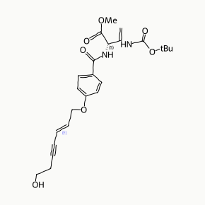 C=C(NC(=O)OC(C)(C)C)[C@H](NC(=O)c1ccc(OC/C=C/C#CCCO)cc1)C(=O)OC